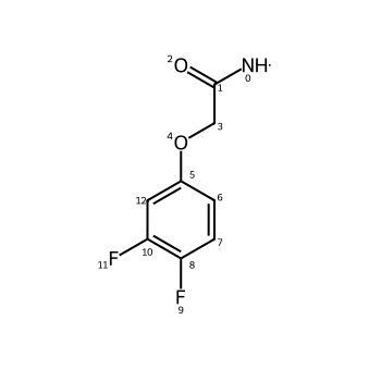 [NH]C(=O)COc1ccc(F)c(F)c1